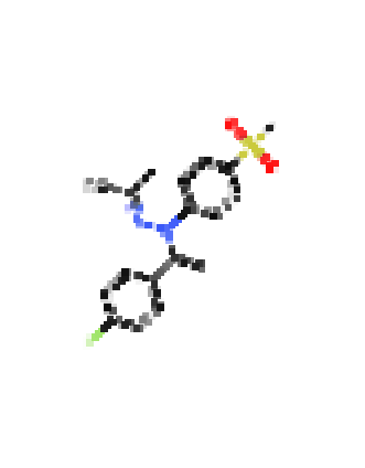 C=C(c1ccc(F)cc1)N(/N=C(\C)C(F)(F)F)c1ccc(S(C)(=O)=O)cc1